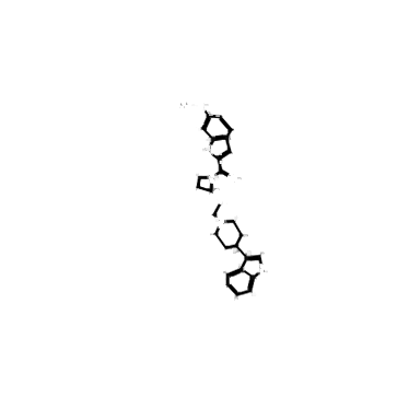 COc1ccc2cc(C(=O)N3CC[C@H]3CCN3CCC(c4c[nH]c5ccccc45)CC3)[nH]c2c1